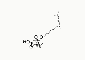 CC(C)=CC=CC(C)CCCC=CCOCP(=O)(CP(=O)(O)O)OC(C)C